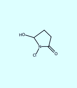 O=C1CCC(O)N1Cl